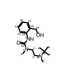 CN(CCN(C)C(C)(C)C)C(=O)Nc1ccccc1CO